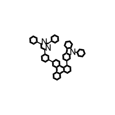 c1ccc(-c2cc(-c3cccc(-c4ccc5c(c4)c4ccccc4c4cccc(-c6ccc7c8ccccc8n(-c8ccccc8)c7c6)c45)c3)nc(-c3ccccc3)n2)cc1